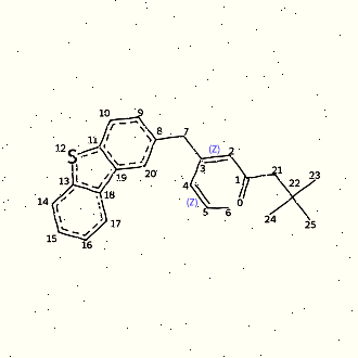 C=C(/C=C(\C=C/C)Cc1ccc2sc3ccccc3c2c1)CC(C)(C)C